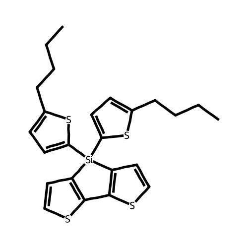 CCCCc1ccc([Si]2(c3ccc(CCCC)s3)c3ccsc3-c3sccc32)s1